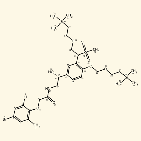 Cc1cc(Br)cc(Cl)c1OCC(=O)NC[C@H](O)c1ccc(OCOCC[Si](C)(C)C)c(N(COCC[Si](C)(C)C)S(C)(=O)=O)c1